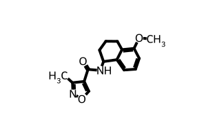 COc1cccc2c1CCCC2NC(=O)c1conc1C